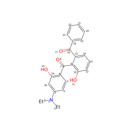 CCN(CC)c1ccc(C(=O)c2c(O)cccc2C(=O)c2ccccc2)c(O)c1